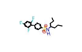 CCCC(CCC)NS(=O)(=O)c1ccc(-c2c(F)cc(F)cc2F)cc1